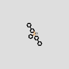 CC[PH](c1ccccc1)(c1ccc(-c2ccccc2)cc1)c1ccc(-c2ccccc2)cc1